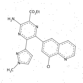 CCOC(=O)c1nc(-c2cc(Cl)c3ncccc3c2)c(-c2ccn(C)n2)nc1N